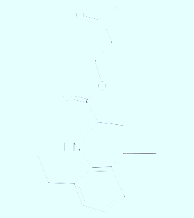 CCc1cccc(CC)c1NC(C)C(=O)OCC[S+](C)[O-]